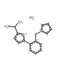 CC(N)c1ccc(-c2ccccc2Cn2cccc2)s1.Cl